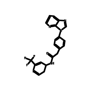 O=C(Cc1ccc(-n2cnc3cccnc32)cc1)NC1C=C(C(F)(F)F)I=CC1